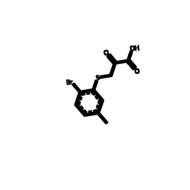 Cc1ccc(Br)c(SCC(=O)C(=O)O)c1